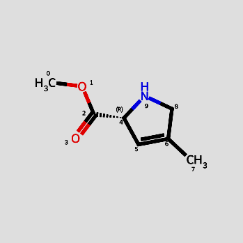 COC(=O)[C@H]1C=C(C)CN1